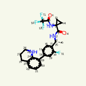 C[C@@H](NC(=O)C1(NC(=O)C(F)(F)F)CC1)c1ccc(-c2cccc3c2NCCC3)cc1F